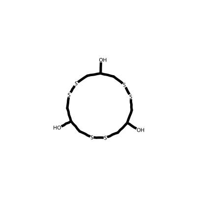 OC1CSSCC(O)CSSCC(O)CSSC1